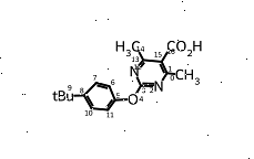 Cc1nc(Oc2ccc(C(C)(C)C)cc2)nc(C)c1C(=O)O